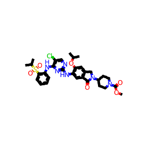 COC(=O)N1CCC(N2Cc3cc(OC(C)C)c(Nc4ncc(Cl)c(Nc5ccccc5S(=O)(=O)C(C)C)n4)cc3C2=O)CC1